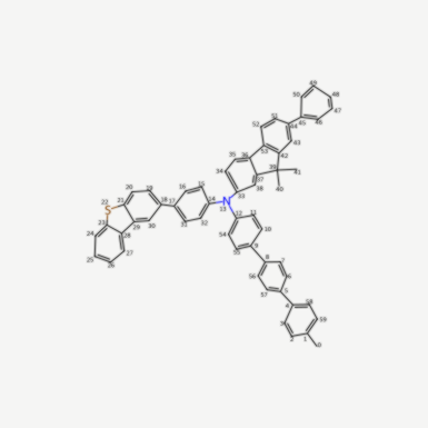 Cc1ccc(-c2ccc(-c3ccc(N(c4ccc(-c5ccc6sc7ccccc7c6c5)cc4)c4ccc5c(c4)C(C)(C)c4cc(-c6ccccc6)ccc4-5)cc3)cc2)cc1